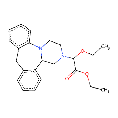 CCOC(=O)C(OCC)N1CCN2c3ccccc3Cc3ccccc3C2C1